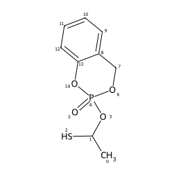 CC(S)OP1(=O)OCc2ccccc2O1